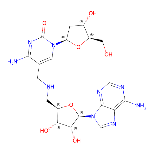 Nc1nc(=O)n([C@H]2C[C@H](O)[C@@H](CO)O2)cc1CNC[C@H]1O[C@@H](n2cnc3c(N)ncnc32)[C@H](O)[C@@H]1O